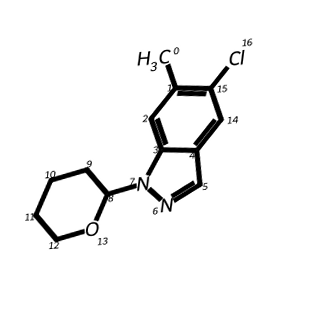 Cc1cc2c(cnn2C2CCCCO2)cc1Cl